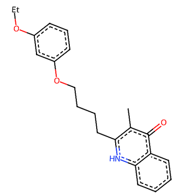 CCOc1cccc(OCCCCc2[nH]c3ccccc3c(=O)c2C)c1